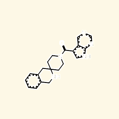 O=C(c1c[nH]c2ncncc12)N1CCC2(CC1)Cc1ccccc1CN2